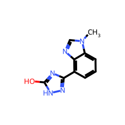 Cn1cnc2c(-c3n[nH]c(O)n3)cccc21